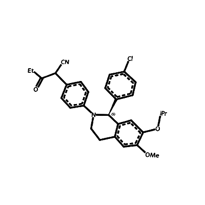 CCC(=O)C(C#N)c1ccc(N2CCc3cc(OC)c(OC(C)C)cc3[C@@H]2c2ccc(Cl)cc2)cc1